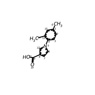 Cc1ccc(-n2ccc(C(=O)O)c2)c(C)c1